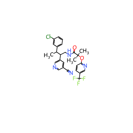 CC(c1cccc(Cl)c1)C(CNC(=O)C(C)(C)Oc1ccc(C(F)(F)F)cn1)c1cncc(C#N)c1